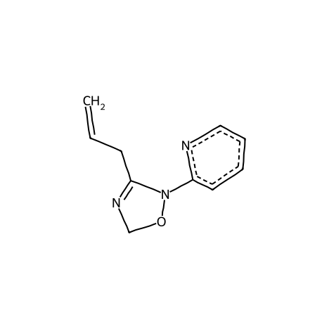 C=CCC1=NCON1c1ccccn1